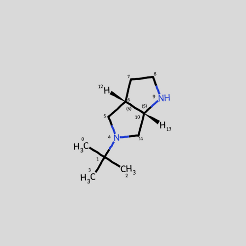 CC(C)(C)N1C[C@@H]2CCN[C@@H]2C1